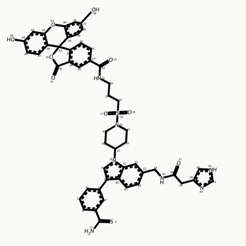 NC(=S)c1cccc(-c2cn(C3CCN(S(=O)(=O)CCCNC(=O)c4ccc5c(c4)C(=O)OC54c5ccc(O)cc5Oc5cc(O)ccc54)CC3)c3cc(CNC(=O)Cc4c[nH]cn4)ccc23)c1